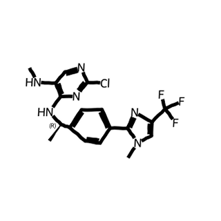 CNc1cnc(Cl)nc1N[C@H](C)c1ccc(-c2nc(C(F)(F)F)cn2C)cc1